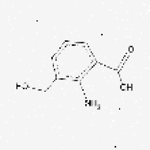 Nc1c(CO)cccc1C(=O)O